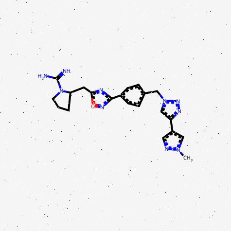 Cn1cc(-c2cn(Cc3ccc(-c4noc(CC5CCCN5C(=N)N)n4)cc3)nn2)cn1